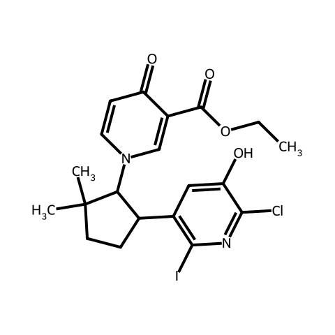 CCOC(=O)c1cn(C2C(c3cc(O)c(Cl)nc3I)CCC2(C)C)ccc1=O